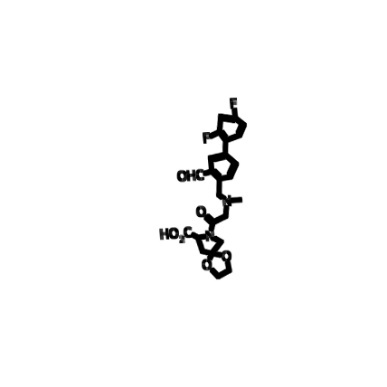 CN(CC(=O)N1CC2(CC1C(=O)O)OCCO2)Cc1ccc(-c2ccc(F)cc2F)cc1C=O